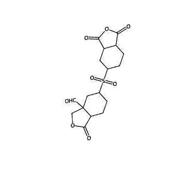 O=CC12COC(=O)C1CCC(S(=O)(=O)C1CCC3C(=O)OC(=O)C3C1)C2